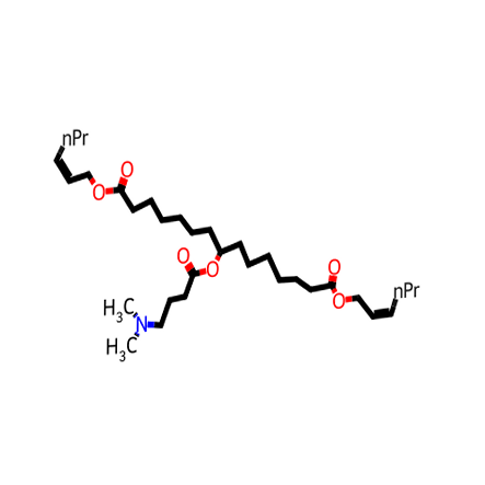 CCC/C=C\COC(=O)CCCCCCC(CCCCCCC(=O)OC/C=C\CCC)OC(=O)CCCN(C)C